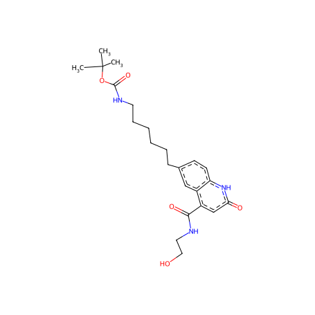 CC(C)(C)OC(=O)NCCCCCCc1ccc2[nH]c(=O)cc(C(=O)NCCO)c2c1